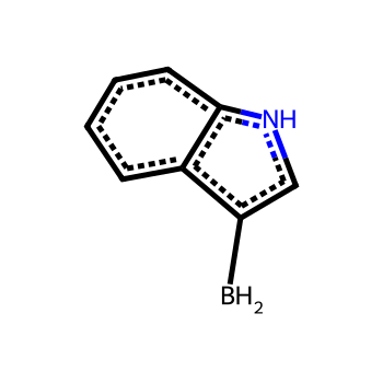 Bc1c[nH]c2ccccc12